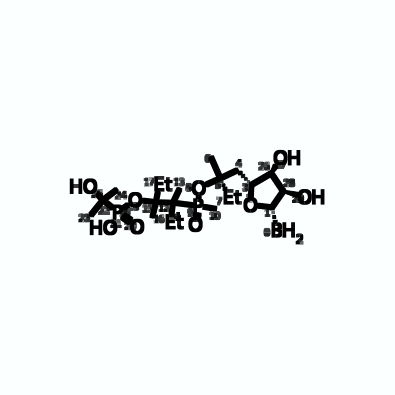 B[C@@H]1O[C@H](C[C@@](C)(CC)OP(C)(=O)C(C)(CC)C(C)(CC)OP(=O)(O)C(C)(C)O)[C@@H](O)[C@H]1O